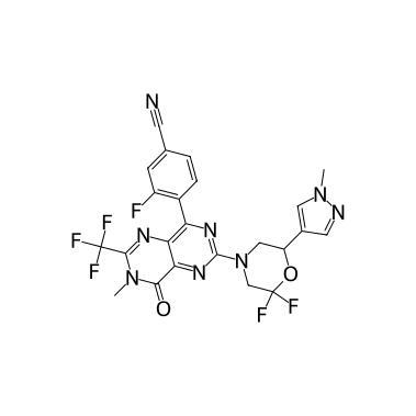 Cn1cc(C2CN(c3nc(-c4ccc(C#N)cc4F)c4nc(C(F)(F)F)n(C)c(=O)c4n3)CC(F)(F)O2)cn1